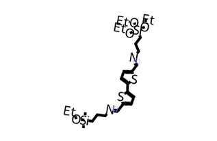 CCO[Si](C)(C)CCC/N=C/c1ccc(-c2ccc(/C=N/CCC[Si](OCC)(OCC)OCC)s2)s1